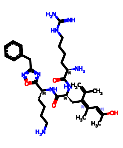 C=C(C)/C(C[C@@H](NC(=O)[C@@H](N)CCCCNC(=N)N)C(=O)N[C@H](CCCCN)c1nc(Cc2ccccc2)no1)=C(C)\C=C(/C)O